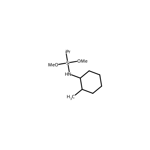 CO[Si](NC1CCCCC1C)(OC)C(C)C